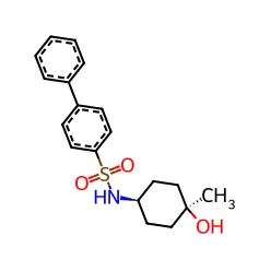 C[C@]1(O)CC[C@@H](NS(=O)(=O)c2ccc(-c3ccccc3)cc2)CC1